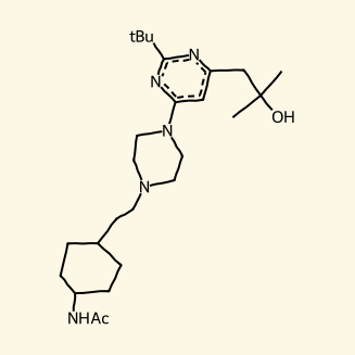 CC(=O)NC1CCC(CCN2CCN(c3cc(CC(C)(C)O)nc(C(C)(C)C)n3)CC2)CC1